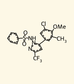 COc1c(C)cc(-c2cc(C(F)(F)F)nn2NS(=O)(=O)c2ccccc2)cc1Cl